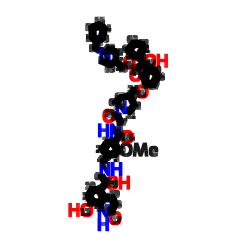 COc1cc(CNC[C@H](O)c2ccc(O)c3[nH]c(=O)ccc23)ccc1C(=O)NCC(=O)N1CCC(COc2cccc([C@](O)(C(=O)OCC3CCN(Cc4ccccc4)CC3)c3ccccc3)c2)CC1